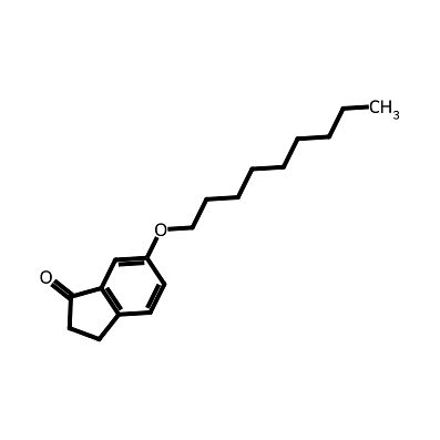 CCCCCCCCCOc1ccc2c(c1)C(=O)CC2